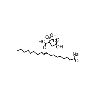 CCCCCCCCC=CCCCCCCC[C](=O)[Na].O=C(O)CC(C(=O)O)S(=O)(=O)O